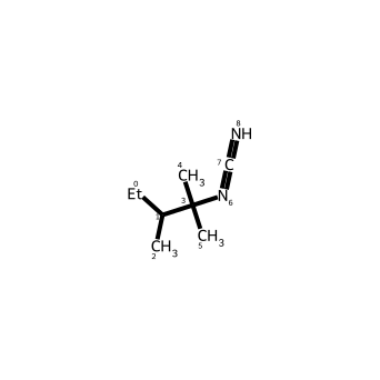 CCC(C)C(C)(C)N=C=N